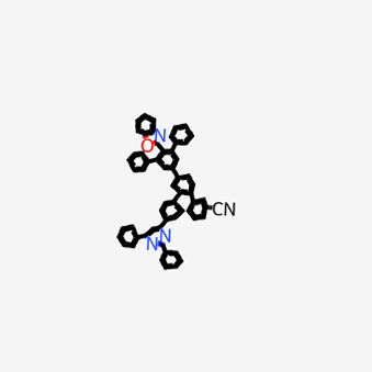 N#Cc1cccc(-c2ccc(-c3cc(-c4ccccc4)c(-c4nc5ccccc5o4)c(-c4ccccc4)c3)cc2-c2ccc(-c3cc(-c4ccccc4)nc(-c4ccccc4)n3)cc2)c1